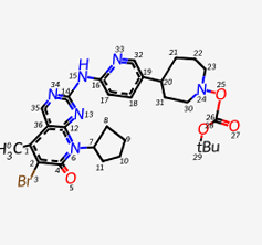 Cc1c(Br)c(=O)n(C2CCCC2)c2nc(Nc3ccc(C4CCCN(OC(=O)OC(C)(C)C)CC4)cn3)ncc12